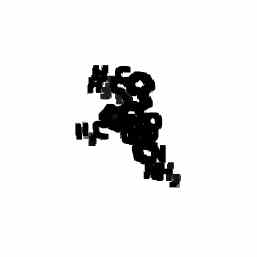 Cc1ccc(-c2nc3c(cc2C(=O)NS(=O)(=O)c2ccc(N)nc2)CCCC3(C)C)cc1